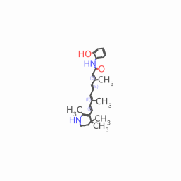 CC1=C(/C=C/C(C)=C/C=C/C(C)=C/C(=O)Nc2ccccc2O)C(C)(C)CCN1